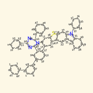 c1ccc(-c2cccc(-c3ccc(-c4ccc5sc6cc7c(cc6c5c4)c4ccccc4n7-c4ccccc4)c(-c4nc(-c5ccccc5)nc(-c5ccccc5)n4)c3)c2)cc1